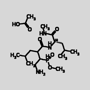 CC(=O)O.CNC(=O)[C@H](CC(C)C)NC(=O)C(CC(C)C)C(CN)[PH](=O)OC